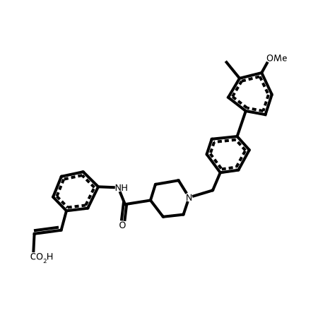 COc1ccc(-c2ccc(CN3CCC(C(=O)Nc4cccc(/C=C/C(=O)O)c4)CC3)cc2)cc1C